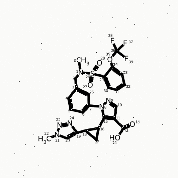 CN(Cc1cccc(-n2ncc(C(=O)O)c2C2CC2c2cn(C)nn2)c1)S(=O)(=O)c1ccccc1OC(F)(F)F